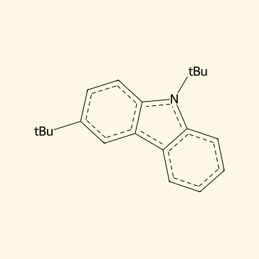 CC(C)(C)c1ccc2c(c1)c1ccccc1n2C(C)(C)C